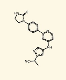 CC(C#N)n1cc(Nc2ccnc(-c3ccc(N4CCNC4=O)cc3)n2)cn1